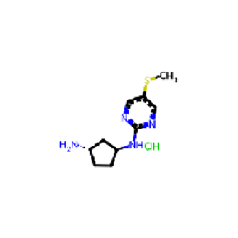 CSc1cnc(N[C@H]2CC[C@H](N)C2)nc1.Cl